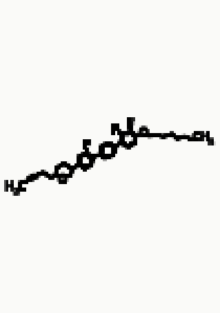 CC#CCCC1CCC(c2ccc(-c3ccc(-c4ccc(OCCCCCCCC)c(F)c4F)cc3)c(F)c2)CO1